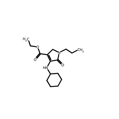 CCCN1CC(C(=O)OCC)=C(NC2CCCCC2)C1=O